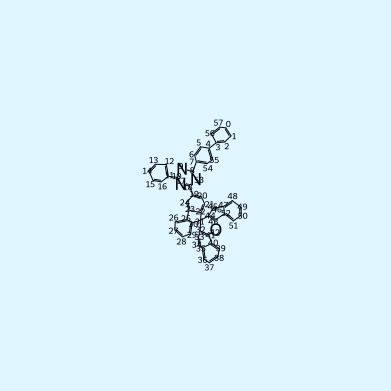 c1ccc(-c2ccc(-c3nc(-c4ccccc4)nc(-c4ccc5c(c4)-c4ccccc4C54c5ccc6ccccc6c5Oc5c4ccc4ccccc54)n3)cc2)cc1